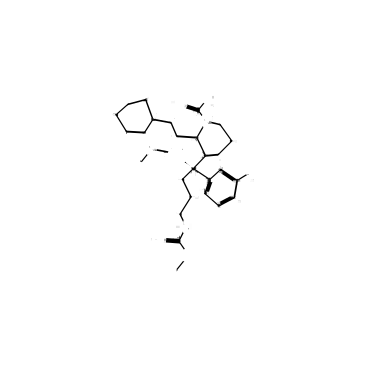 CNC[C@H](CC1CCCCC1)C1C([C@@](O)(CCCNC(=O)OC)c2cccc(Cl)c2)CCCN1C(=O)O